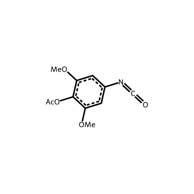 COc1cc(N=C=O)cc(OC)c1OC(C)=O